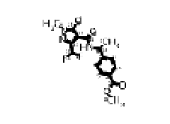 COC(=O)c1ccc([C@H](C)NC(=O)c2c(C(F)F)nn(C)c2Cl)cc1